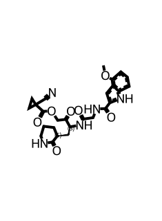 COc1cccc2[nH]c(C(=O)NCC(=O)N[C@@H](C[C@@H]3CCCNC3=O)C(=O)COC(=O)C3(C#N)CC3)cc12